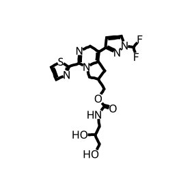 O=C(NCC(O)CO)OCC1CC2=C(c3ccn(C(F)F)n3)CN=C(c3nccs3)N2C1